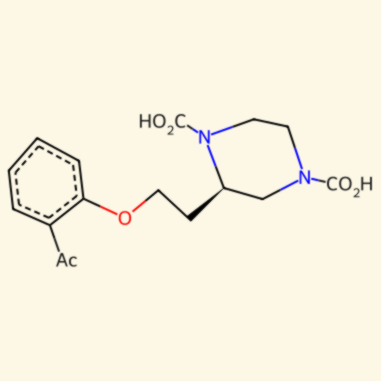 CC(=O)c1ccccc1OCC[C@@H]1CN(C(=O)O)CCN1C(=O)O